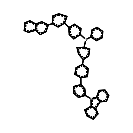 c1ccc(N(c2ccc(-c3ccc(-c4cccc(-n5c6ccccc6c6ccccc65)c4)cc3)cc2)c2ccc(-c3cccc(-c4ccc5ccccc5c4)c3)cc2)cc1